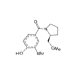 COC[C@@H]1CCCN1C(=O)c1ccc(O)c(C(C)(C)C)c1